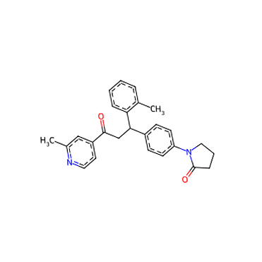 Cc1cc(C(=O)CC(c2ccc(N3CCCC3=O)cc2)c2ccccc2C)ccn1